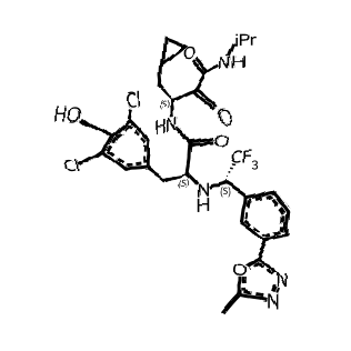 Cc1nnc(-c2cccc([C@H](N[C@@H](Cc3cc(Cl)c(O)c(Cl)c3)C(=O)N[C@@H](CC3CC3)C(=O)C(=O)NC(C)C)C(F)(F)F)c2)o1